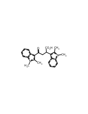 Cc1c(C(=O)CC(C(=O)O)c2c(C)n(C)c3ccccc23)c2ccccc2n1C